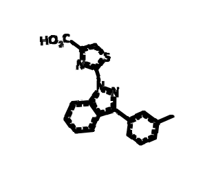 Cc1cccc(-c2nn(-c3nc(C(=O)O)cs3)c3ccccc23)c1